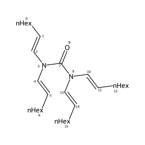 CCCCCCC=CN(C=CCCCCCC)C(=O)N(C=CCCCCCC)C=CCCCCCC